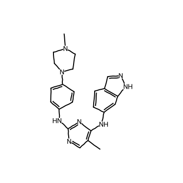 Cc1cnc(Nc2ccc(N3CCN(C)CC3)cc2)nc1Nc1ccc2cn[nH]c2c1